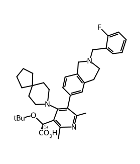 Cc1nc(C)c([C@H](OC(C)(C)C)C(=O)O)c(N2CCC3(CCCC3)CC2)c1-c1ccc2c(c1)CCN(Cc1ccccc1F)C2